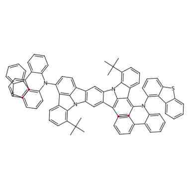 CC(C)(C)c1cccc2c3c(N(c4ccccc4-c4ccccc4)c4cccc5sc6ccccc6c45)ccc4c5cc6c(cc5n(c12)c43)c1ccc(N(c2ccccc2-c2ccccc2)c2cccc3sc4ccccc4c23)c2c3cccc(C(C)(C)C)c3n6c12